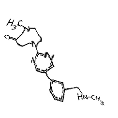 CNCc1cccc(-c2cnc(N3CCN(C)C(=O)C3)nc2)c1